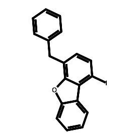 Ic1ccc(Cc2ccccc2)c2oc3ccccc3c12